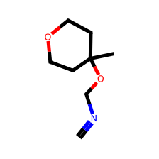 C=NCOC1(C)CCOCC1